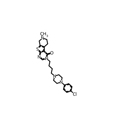 CN1CCc2c(sc3ncn(CCCCN4CCN(c5ccc(Cl)cc5)CC4)c(=O)c23)C1